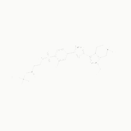 CCn1nc(-c2nc(-c3ccc(S(=O)(=O)NCCC(=O)OC(C)(C)C)c(Cl)c3)no2)c2c1CC(C)(C)CC2